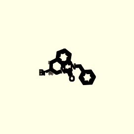 O=c1n(Cc2ccccc2)c2cccc3c2n1C[C@@H](Br)[C]3